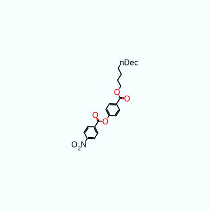 CCCCCCCCCCCCCCOC(=O)c1ccc(OC(=O)c2ccc([N+](=O)[O-])cc2)cc1